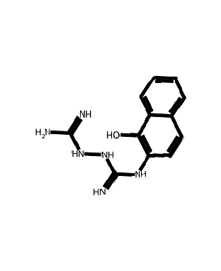 N=C(N)NNC(=N)Nc1ccc2ccccc2c1O